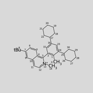 Cc1c(-c2c3ccc(C(C)(C)C)cc3cc[n+]2C)cc(C2CCCCC2)cc1C1CCCCC1